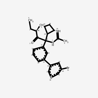 CC[C@@H](C)C(=O)C(NC(C)=N)(c1cccc(-c2cncc(Br)c2)c1)C1CCC1